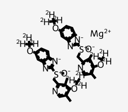 [2H]C([2H])([2H])Oc1ccc2[n-]c([S+]([O-])Cc3ncc(C)c(OC([2H])([2H])[2H])c3C)nc2c1.[2H]C([2H])([2H])Oc1ccc2[n-]c([S+]([O-])Cc3ncc(C)c(OC([2H])([2H])[2H])c3C)nc2c1.[Mg+2]